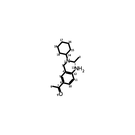 CCN(Cc1cc(C(C)=O)ccc1N)C1CCCCC1